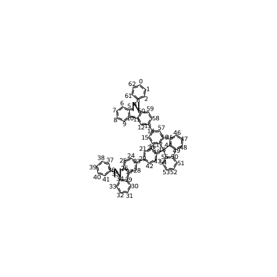 c1ccc(-n2c3ccccc3c3cc(-c4ccc(C5(c6ccc(-c7ccc8c(c7)c7ccccc7n8-c7ccccc7)cc6)c6ccccc6-c6ccccc65)cc4)ccc32)cc1